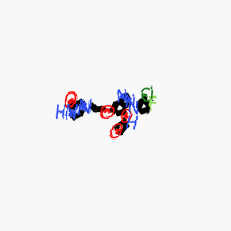 O=C1CN(CCCOc2cc(OC3CCOC3)c3c(Nc4ccc(F)c(Cl)c4)ncnc3c2)CCN1